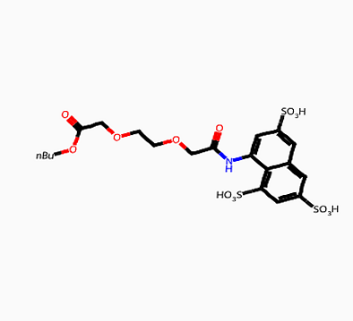 CCCCOC(=O)COCCOCC(=O)Nc1cc(S(=O)(=O)O)cc2cc(S(=O)(=O)O)cc(S(=O)(=O)O)c12